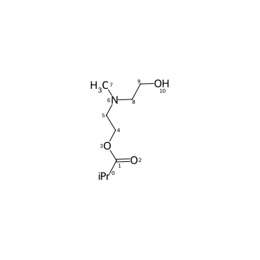 CC(C)C(=O)OCCN(C)CCO